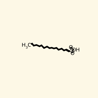 CCCCCCCCCCCCCCCC=CS(=O)(=O)O